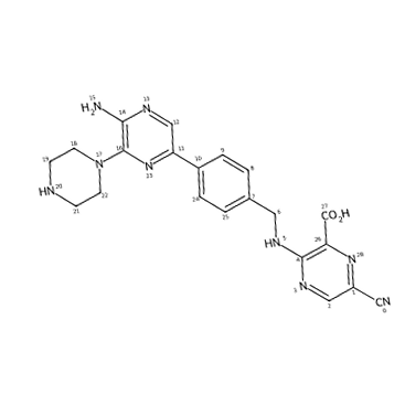 N#Cc1cnc(NCc2ccc(-c3cnc(N)c(N4CCNCC4)n3)cc2)c(C(=O)O)n1